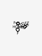 O=C(NC(c1cccc(F)c1)[C@]1(O)CC[C@@H](F)CC1)c1nccc(C(F)(F)F)c1Cl